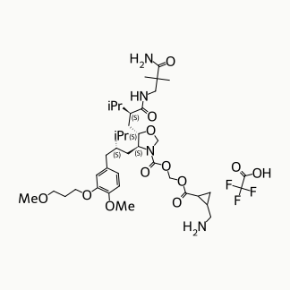 COCCCOc1cc(C[C@@H](C[C@H]2[C@H](C[C@H](C(=O)NCC(C)(C)C(N)=O)C(C)C)OCN2C(=O)OCOC(=O)C2CC2CN)C(C)C)ccc1OC.O=C(O)C(F)(F)F